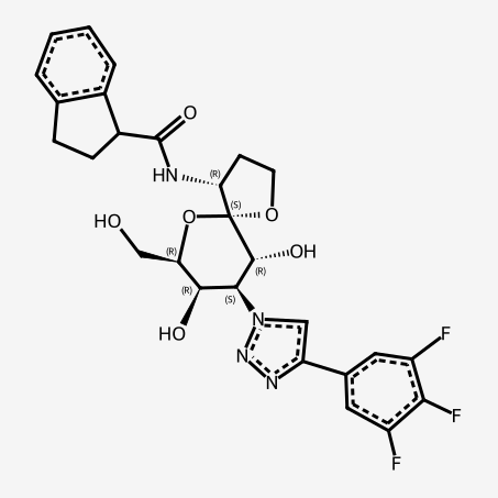 O=C(N[C@@H]1CCO[C@]12O[C@H](CO)[C@H](O)[C@H](n1cc(-c3cc(F)c(F)c(F)c3)nn1)[C@H]2O)C1CCc2ccccc21